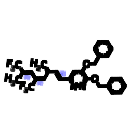 C=C(/C=C/c1cc(OCc2ccccc2)c(OCc2ccccc2)nn1)/C=C(\C=C(/C)C(F)(F)F)C(F)(F)F